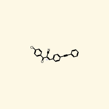 N#C/C(=C\c1ccc(C#Cc2ccccc2)cc1)C(=O)c1ccc(Cl)cc1